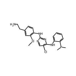 COc1cc(CCN)ccc1Nc1ncc(Cl)c(Nc2ccccc2P(C)C)n1